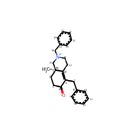 C[C@@]12CCC(=O)C(Cc3ccccc3)=C1CCN(Cc1ccccc1)C2